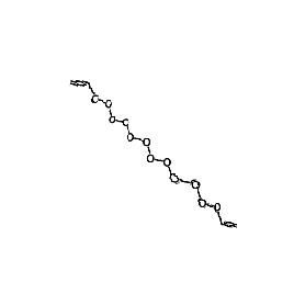 C=COOOOOOOOOOOOC=C